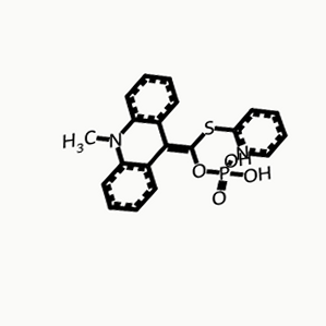 CN1c2ccccc2C(=C(OP(=O)(O)O)Sc2ccccn2)c2ccccc21